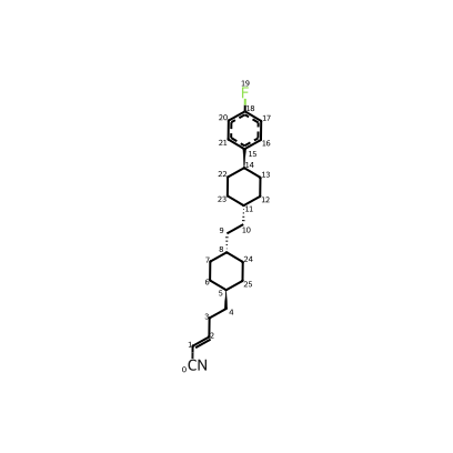 N#CC=CCC[C@H]1CC[C@H](CC[C@H]2CC[C@H](c3ccc(F)cc3)CC2)CC1